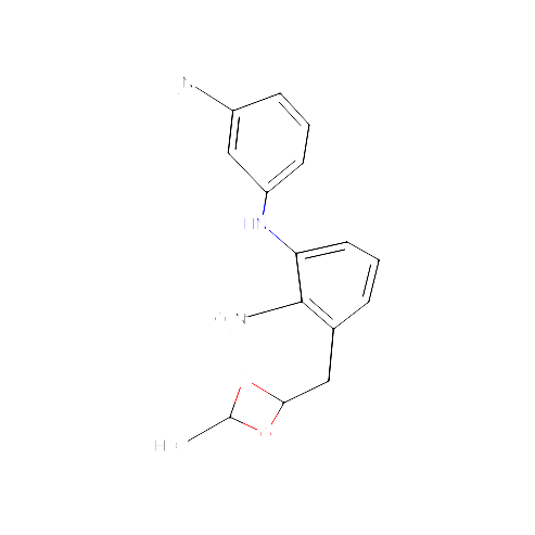 CC1OC(Cc2cccc(Nc3cccc([N+](=O)[O-])c3)c2[N+](=O)[O-])O1